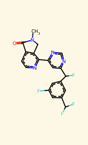 CN1Cc2c(ccnc2-c2cc(C(F)c3cc(F)cc(C(F)F)c3)ncn2)C1=O